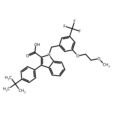 COCCOc1cc(Cn2c(C(=O)O)c(-c3ccc(C(C)(C)C)cc3)c3ccccc32)cc(C(F)(F)F)c1